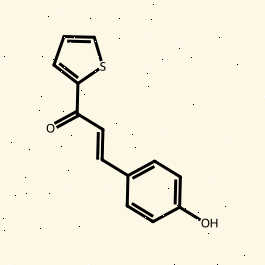 O=C(C=Cc1ccc(O)cc1)c1cccs1